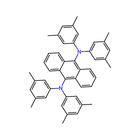 Cc1cc(C)cc(N(c2cc(C)cc(C)c2)c2c3ccccc3c(N(c3cc(C)cc(C)c3)c3cc(C)cc(C)c3)c3ccccc23)c1